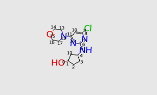 OC1CCC(Nc2nc(Cl)cc(N3CCOCC3)n2)C1